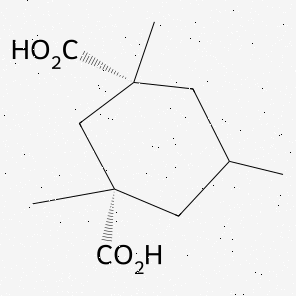 CC1C[C@](C)(C(=O)O)C[C@](C)(C(=O)O)C1